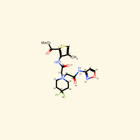 COC(=O)c1scc(C)c1NC(=O)C[N+]1(CC(=O)Nc2ccon2)CCC(F)(F)CC1